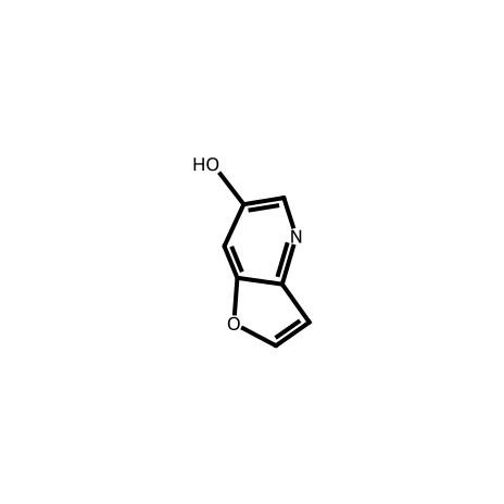 Oc1cnc2ccoc2c1